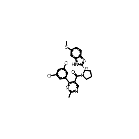 CSc1ccc2nc([C@@H]3CCCN3C(=O)c3cnc(C)nc3-c3cc(Cl)cc(Cl)c3)[nH]c2c1